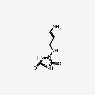 NC=CCNn1[nH]c(=O)[nH]c1=O